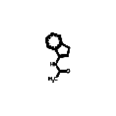 CC(=O)NC1=CCc2ccccc21